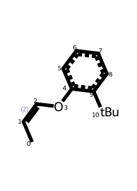 C/C=C\Oc1ccccc1C(C)(C)C